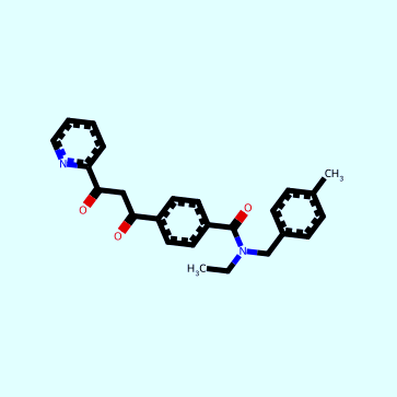 CCN(Cc1ccc(C)cc1)C(=O)c1ccc(C(=O)CC(=O)c2ccccn2)cc1